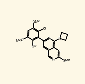 CCCc1c(OC)cc(OC)c(Cl)c1-c1cc2cnc(SC)nc2c(N2CCC2)n1